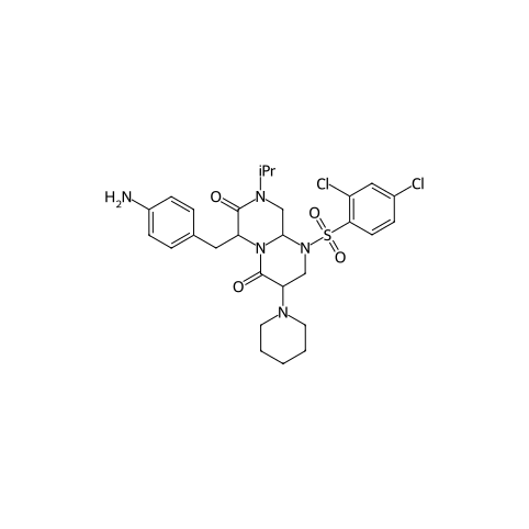 CC(C)N1CC2N(C(=O)C(N3CCCCC3)CN2S(=O)(=O)c2ccc(Cl)cc2Cl)C(Cc2ccc(N)cc2)C1=O